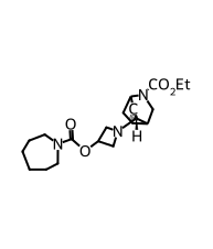 CCOC(=O)N1CC2CCC1C[C@H]2N1CC(OC(=O)N2CCCCCC2)C1